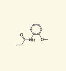 C[CH]C(=O)Nc1ccccc1OC